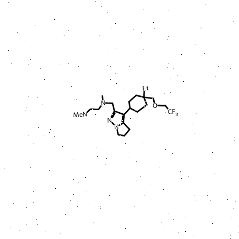 CCC1(COCC(F)(F)F)CCC(c2c(CN(C)CCNC)nn3c2CCC3)CC1